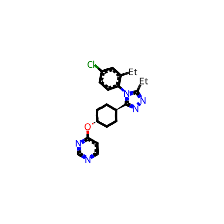 CCc1cc(Cl)ccc1-n1c(CC)nnc1[C@H]1CC[C@H](Oc2ccncn2)CC1